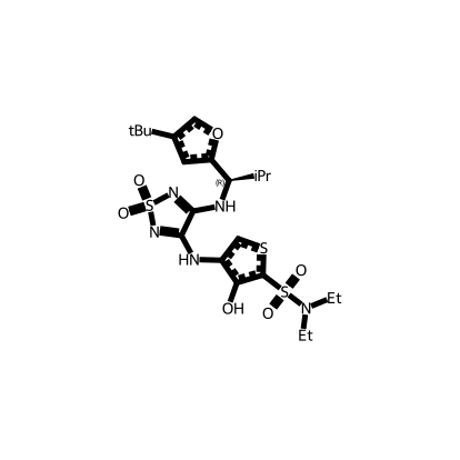 CCN(CC)S(=O)(=O)c1scc(NC2=NS(=O)(=O)N=C2N[C@@H](c2cc(C(C)(C)C)co2)C(C)C)c1O